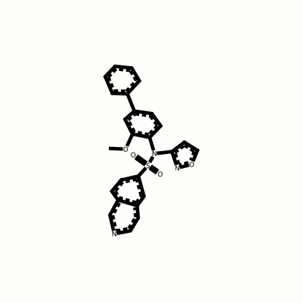 COc1cc(-c2ccccc2)ccc1N(c1ccon1)S(=O)(=O)c1ccc2cnccc2c1